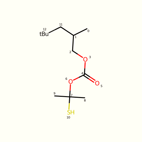 CC(COC(=O)OC(C)(C)S)CC(C)(C)C